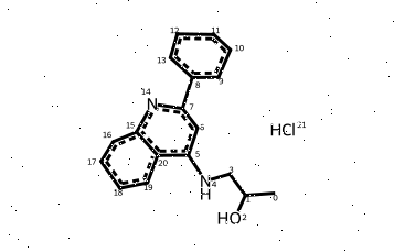 CC(O)CNc1cc(-c2ccccc2)nc2ccccc12.Cl